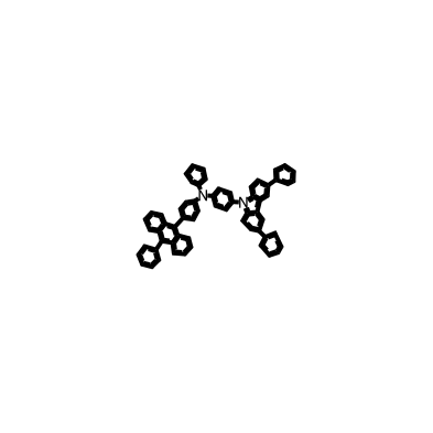 c1ccc(-c2ccc3c(c2)c2cc(-c4ccccc4)ccc2n3-c2ccc(N(c3ccccc3)c3ccc(-c4c5ccccc5c(-c5ccccc5)c5ccccc45)cc3)cc2)cc1